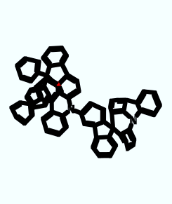 c1ccc(-c2ccccc2-c2ccccc2N(c2ccc3c(c2)-c2ccccc2C32c3ccccc3-n3c4ccccc4c4cccc2c43)c2ccc3c(c2)C(c2ccccc2)(c2ccccc2)c2ccccc2-3)cc1